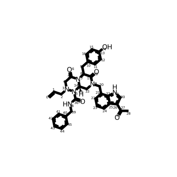 C=CCN1CC(=O)N2C(Cc3ccc(O)cc3)C(=O)N(Cc3cccc4c(C(C)=O)c[nH]c34)C[C@@H]2N1C(=O)NCc1ccccc1